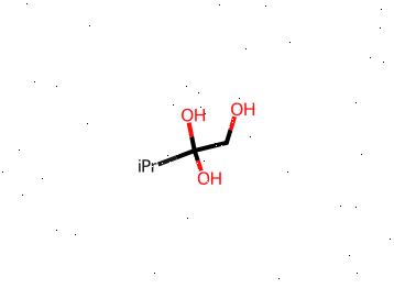 CC(C)C(O)(O)CO